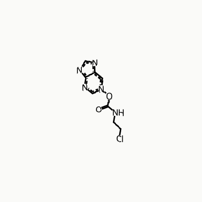 O=C(NCCCl)On1cnc2ncnc-2c1